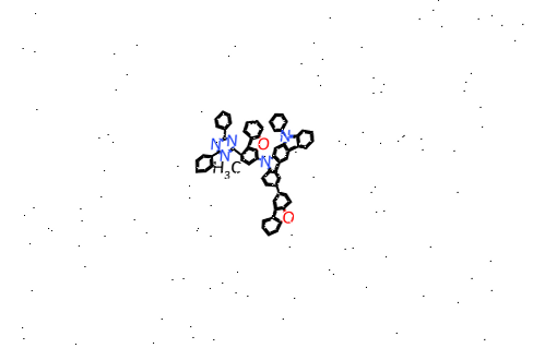 Cc1cc(-n2c3ccc(-c4ccc5oc6ccccc6c5c4)cc3c3cc4c5ccccc5n(-c5ccccc5)c4cc32)c2oc3ccccc3c2c1-c1nc(-c2ccccc2)nc(-c2ccccc2)n1